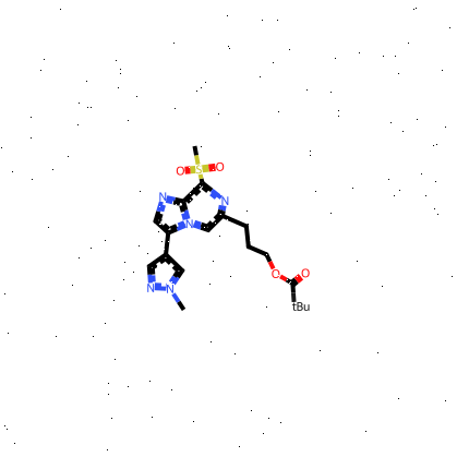 Cn1cc(-c2cnc3c(S(C)(=O)=O)nc(CCCOC(=O)C(C)(C)C)cn23)cn1